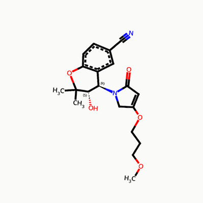 COCCCOC1=CC(=O)N([C@@H]2c3cc(C#N)ccc3OC(C)(C)[C@H]2O)C1